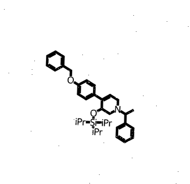 CC(c1ccccc1)N1CC=C(c2ccc(OCc3ccccc3)cc2)C(O[Si](C(C)C)(C(C)C)C(C)C)C1